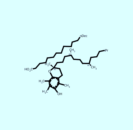 CCCCCCCCCCCCCCCCCCCCCC(=O)O.Cc1c(C)c2c(c(C)c1O)CC[C@@](C)(CCC[C@H](C)CCC[C@H](C)CCCC(C)C)O2